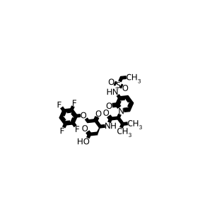 CCS(=O)(=O)Nc1cccn(C(C(=O)N[C@@H](CC(=O)O)C(=O)COc2c(F)c(F)cc(F)c2F)C(C)C)c1=O